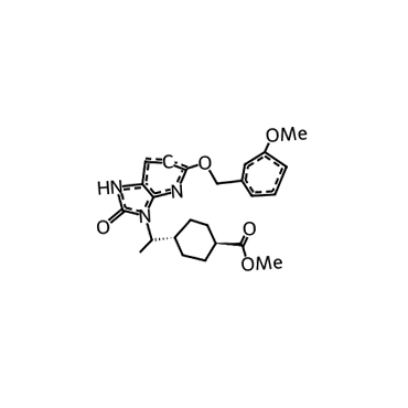 COc1cccc(COc2ccc3[nH]c(=O)n(C(C)[C@H]4CC[C@H](C(=O)OC)CC4)c3n2)c1